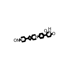 O=NN1CCC(C2CC3(CCN(c4ccc(C5CCC(=O)NC5=O)cc4)CC3)C2)CC1